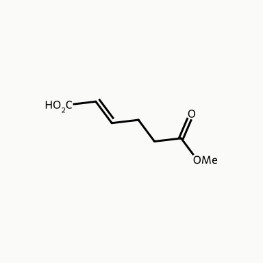 COC(=O)CC/C=C/C(=O)O